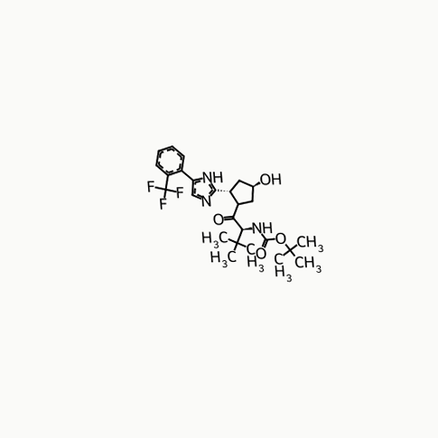 CC(C)(C)OC(=O)N[C@H](C(=O)C1C[C@H](O)C[C@H]1c1ncc(-c2ccccc2C(F)(F)F)[nH]1)C(C)(C)C